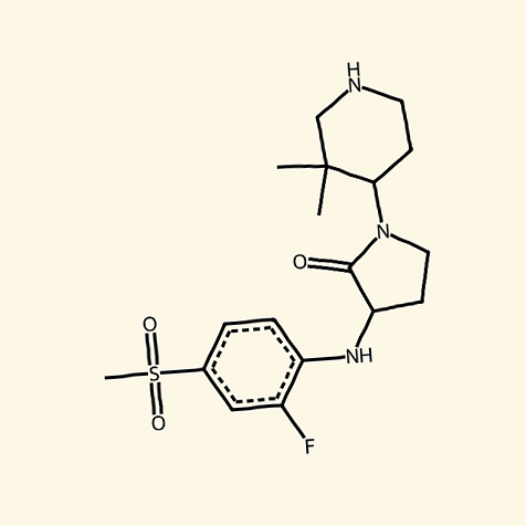 CC1(C)CNCCC1N1CCC(Nc2ccc(S(C)(=O)=O)cc2F)C1=O